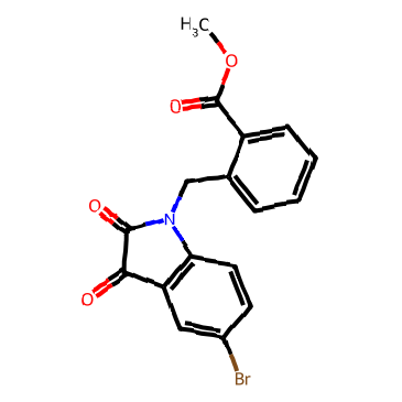 COC(=O)c1ccccc1CN1C(=O)C(=O)c2cc(Br)ccc21